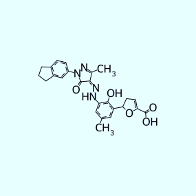 CC1=NN(c2ccc3c(c2)CCC3)C(=O)/C1=N\Nc1cc(C)cc(C2CC=C(C(=O)O)O2)c1O